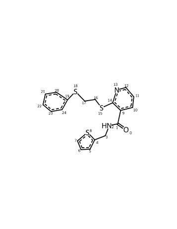 O=C(NCc1cccs1)c1cccnc1SCCSc1ccccc1